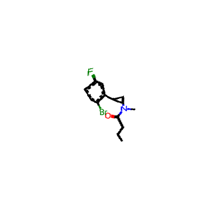 CCCC(=O)N(C)C1CC1c1cc(F)ccc1Br